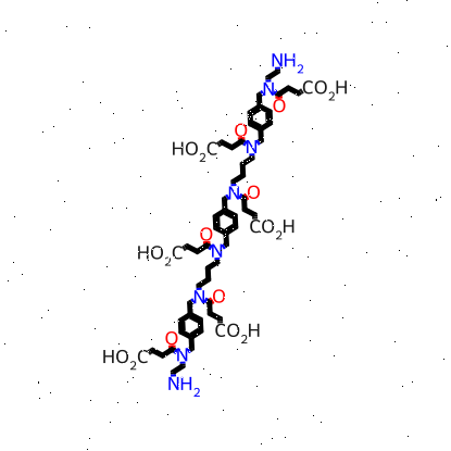 NCCN(Cc1ccc(CN(CCCCN(Cc2ccc(CN(CCCCN(Cc3ccc(CN(CCN)C(=O)CCC(=O)O)cc3)C(=O)CCC(=O)O)C(=O)CCC(=O)O)cc2)C(=O)CCC(=O)O)C(=O)CCC(=O)O)cc1)C(=O)CCC(=O)O